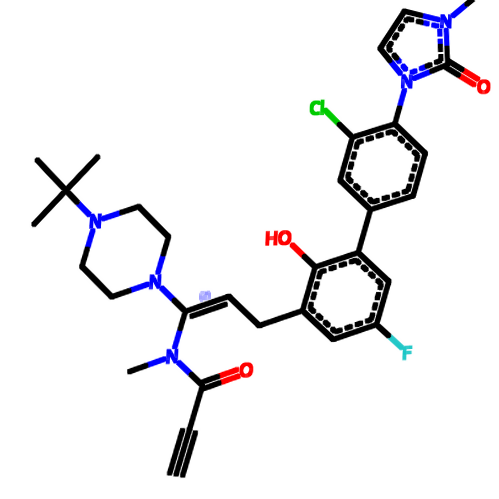 C#CC(=O)N(C)/C(=C\Cc1cc(F)cc(-c2ccc(-n3ccn(C)c3=O)c(Cl)c2)c1O)N1CCN(C(C)(C)C)CC1